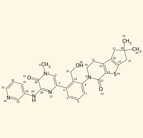 Cn1cc(-c2cccc(N3CCc4c(sc5c4CC(C)(C)C5)C3=O)c2CO)nc(Nc2cccnc2)c1=O